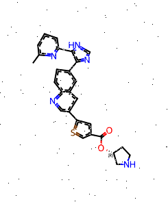 Cc1cccc(-c2[nH]cnc2-c2ccc3ncc(-c4cc(C(=O)O[C@@H]5CCNC5)cs4)cc3c2)n1